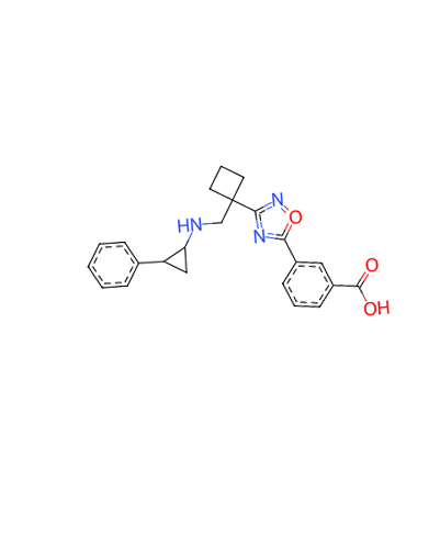 O=C(O)c1cccc(-c2nc(C3(CNC4CC4c4ccccc4)CCC3)no2)c1